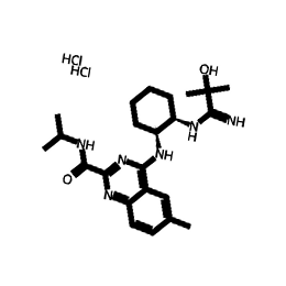 Cc1ccc2nc(C(=O)NC(C)C)nc(N[C@H]3CCCC[C@H]3NC(=N)C(C)(C)O)c2c1.Cl.Cl